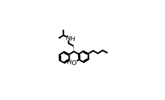 CCCCc1ccc(O)c([C@@H](CCNC(C)C)c2ccccc2)c1